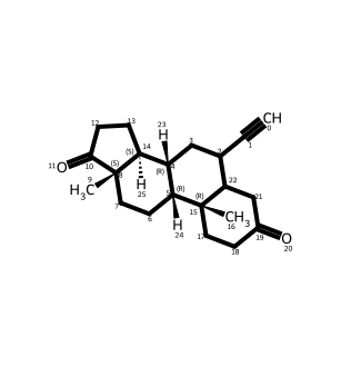 C#CC1C[C@@H]2[C@@H](CC[C@]3(C)C(=O)CC[C@@H]23)[C@@]2(C)CCC(=O)CC12